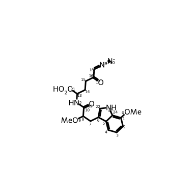 COc1cccc2c(CC(OC)C(=O)NC(CCC(=O)C=[N+]=[N-])C(=O)O)c[nH]c12